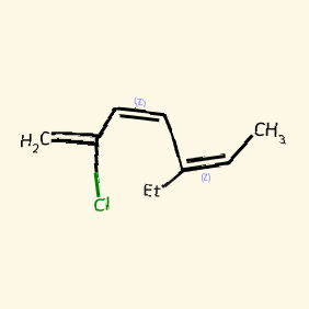 C=C(Cl)/C=C\C(=C/C)CC